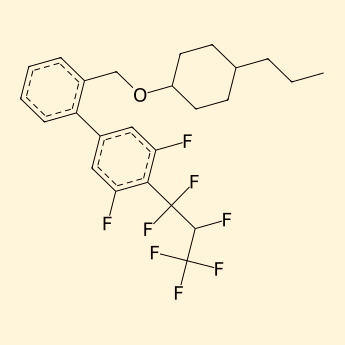 CCCC1CCC(OCc2ccccc2-c2cc(F)c(C(F)(F)C(F)C(F)(F)F)c(F)c2)CC1